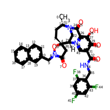 C[C@H]1CC[C@]2(CC(=O)N(Cc3ccc4ccccc4c3)O2)[C@H]2CN1C(=O)c1c(O)c(=O)c(C(=O)NCc3c(F)cc(F)cc3F)cn12